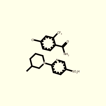 CC1CCCN(c2ccc(S(=O)(=O)O)cn2)C1.NC(=O)c1ccc(Cl)cc1C(F)(F)F